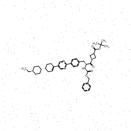 CC[C@H]1CC[C@H](C2CC=C(c3cnc(-c4ccc(C[C@H](NC(=O)OCc5ccccc5)C(=O)N5CC(C(=O)OC(C)(C)C)C5)cc4)nc3)CC2)CC1